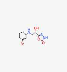 O=c1[nH]nc(C(O)CNc2cccc(Br)c2)o1